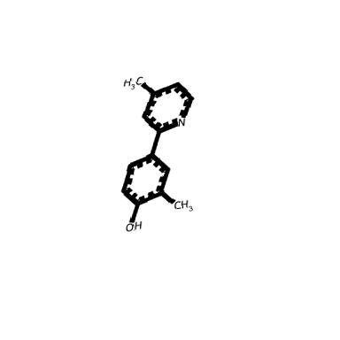 Cc1ccnc(-c2ccc(O)c(C)c2)c1